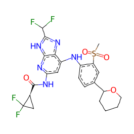 CS(=O)(=O)c1cc(C2CCCCO2)ccc1Nc1cc(NC(=O)[C@H]2CC2(F)F)nc2[nH]c(C(F)F)nc12